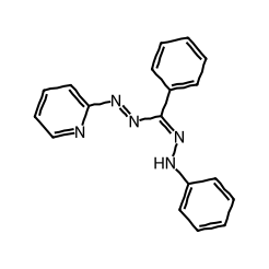 c1ccc(NN=C(N=Nc2ccccn2)c2ccccc2)cc1